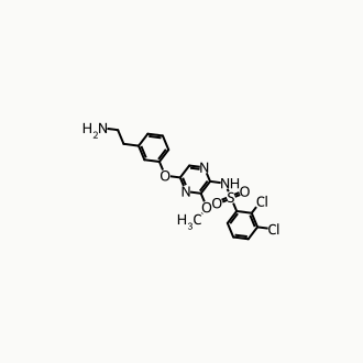 COc1nc(Oc2cccc(CCN)c2)cnc1NS(=O)(=O)c1cccc(Cl)c1Cl